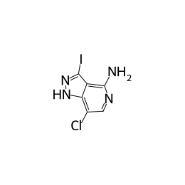 Nc1ncc(Cl)c2[nH]nc(I)c12